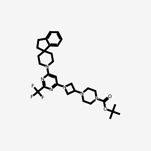 CC(C)(C)OC(=O)N1CCN(C2CN(c3cc(N4CCC5(CCc6ccccc65)CC4)nc(C(F)(F)F)n3)C2)CC1